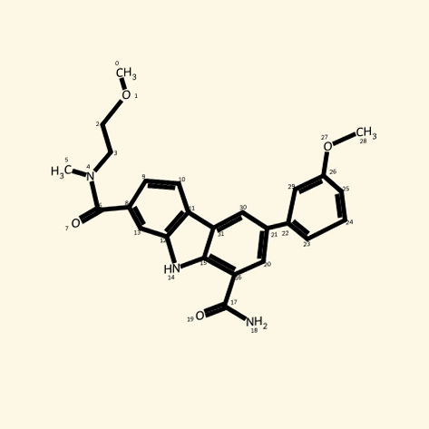 COCCN(C)C(=O)c1ccc2c(c1)[nH]c1c(C(N)=O)cc(-c3cccc(OC)c3)cc12